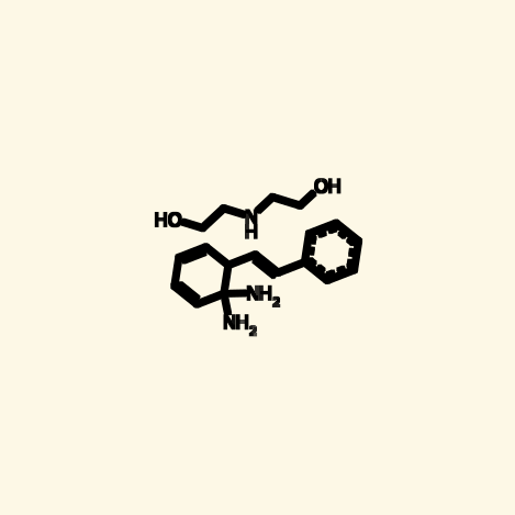 NC1(N)C=CC=CC1C=Cc1ccccc1.OCCNCCO